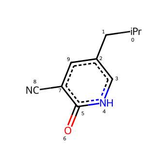 CC(C)Cc1c[nH]c(=O)c(C#N)c1